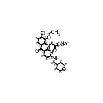 CCOc1c(Cl)ccc2c(=O)c3ccc(NCC4CCOCC4)nc3n(CC(=O)[O-])c12.[Na+]